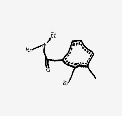 CCN(CC)C(=O)c1cccc(C)c1Br